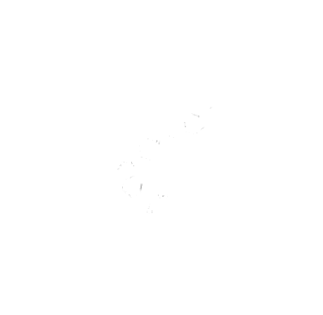 CCC(O)c1ccc2ccn(C3CCN(CCc4ccc(F)cc4)CC3)c2c1